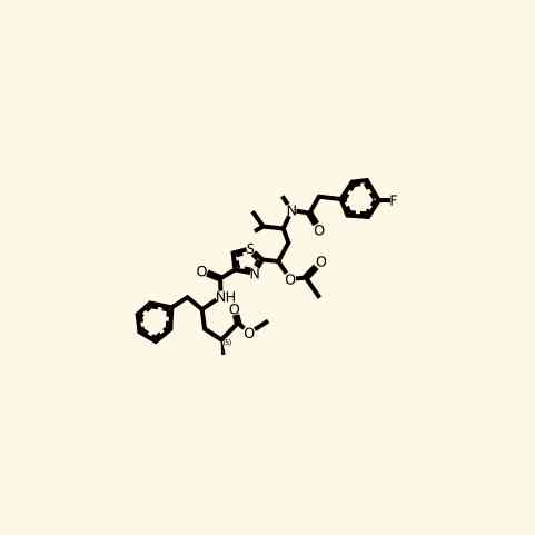 COC(=O)[C@@H](C)CC(Cc1ccccc1)NC(=O)c1csc(C(CC(C(C)C)N(C)C(=O)Cc2ccc(F)cc2)OC(C)=O)n1